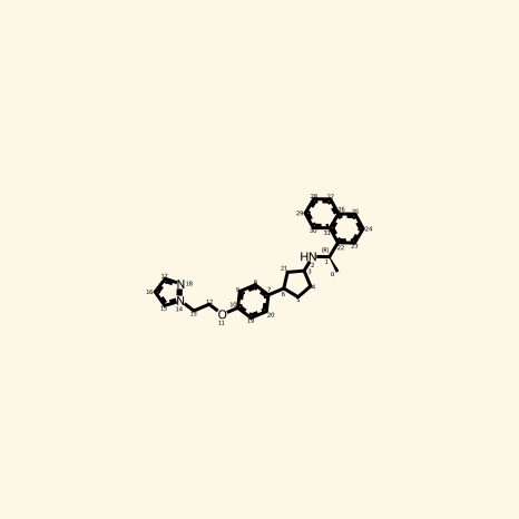 C[C@@H](NC1CCC(c2ccc(OCCn3cccn3)cc2)C1)c1cccc2ccccc12